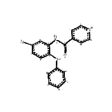 O=C(Nc1cc(Cl)ccc1Oc1ccccc1)c1ccncc1